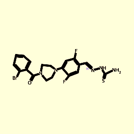 NC(=S)N/N=C/c1cc(F)c(N2CCN(C(=O)c3ccccc3Br)CC2)cc1F